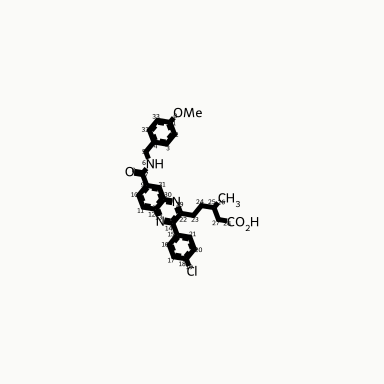 COc1ccc(CNC(=O)c2ccc3nc(-c4ccc(Cl)cc4)c(CCC(C)CC(=O)O)nc3c2)cc1